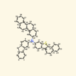 c1ccc2c(c1)Cc1ccc(N(c3ccc4c(c3)sc3c5ccccc5ccc43)c3ccc4ccc5c6ccccc6ccc5c4c3)cc1-2